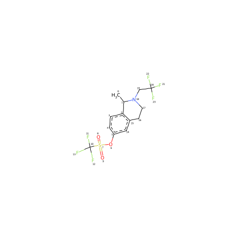 CC1c2ccc(OS(=O)(=O)C(F)(F)F)cc2CCN1CC(F)(F)F